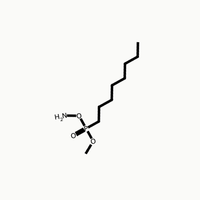 CCCCCCCCP(=O)(OC)ON